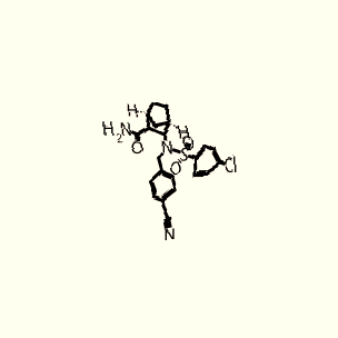 N#Cc1ccc(CN(C2C(C(N)=O)[C@H]3CC[C@@H]2C3)S(=O)(=O)c2ccc(Cl)cc2)cc1